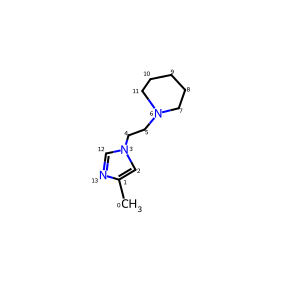 Cc1cn(CCN2CCCCC2)cn1